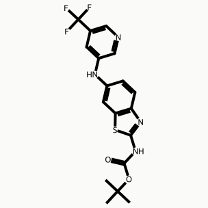 CC(C)(C)OC(=O)Nc1nc2ccc(Nc3cncc(C(F)(F)F)c3)cc2s1